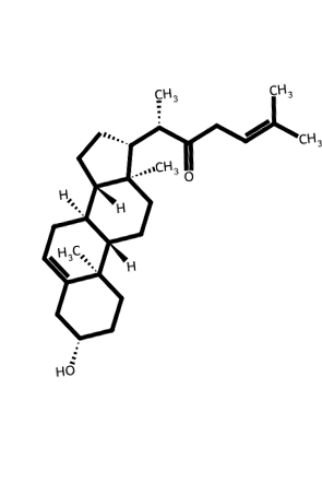 CC(C)=CCC(=O)[C@@H](C)[C@H]1CC[C@H]2[C@@H]3CC=C4C[C@@H](O)CC[C@]4(C)[C@H]3CC[C@]12C